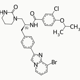 CC(C)Oc1ccc(C(=O)N[C@@H](Cc2ccc(-c3cn4cccc(Br)c4n3)cc2)CN2CCCNC2=O)cc1Cl